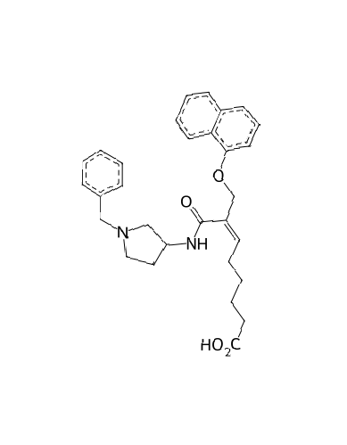 O=C(O)CCCCC=C(COc1cccc2ccccc12)C(=O)NC1CCN(Cc2ccccc2)C1